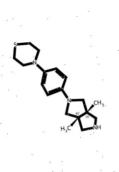 C[C@@]12CNC[C@]1(C)CN(c1ccc(N3CCSCC3)cc1)C2